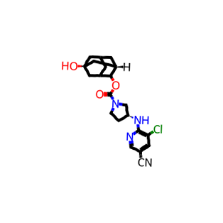 N#Cc1cnc(N[C@@H]2CCN(C(=O)OC3C4CC5C[C@H]3C[C@@](O)(C5)C4)C2)c(Cl)c1